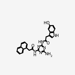 Nc1nc(NC(=O)Cc2cccc3ccccc23)nc(NC(=O)Cc2c[nH]c3ccc(O)cc23)n1